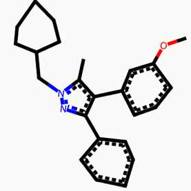 COc1cccc(-c2c(-c3ccccc3)nn(CC3CCCCC3)c2C)c1